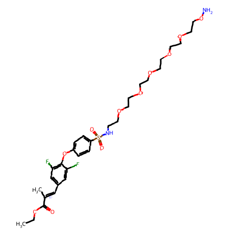 CCOC(=O)/C(C)=C/c1cc(F)c(Oc2ccc(S(=O)(=O)NCCOCCOCCOCCOCCOCCON)cc2)c(F)c1